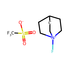 F[N+]12CCC(CC1)CC2.O=S(=O)([O-])C(F)(F)F